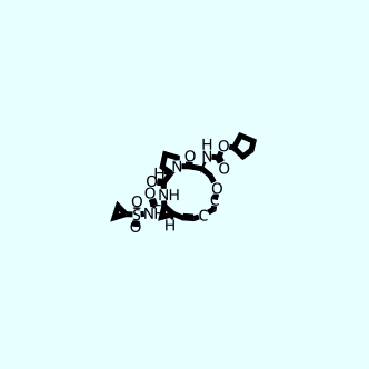 O=C(N[C@H]1COCCC/C=C\[C@@H]2C[C@@]2(C(=O)NS(=O)(=O)C2CC2)NC(=O)[C@@H]2CCCN2C1=O)OC1CCCC1